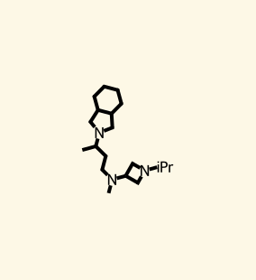 CC(C)N1CC(N(C)CCC(C)N2CC3CCCCC3C2)C1